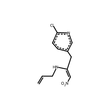 C=CCNC(=C[N+](=O)[O-])Cc1ccc(Cl)nc1